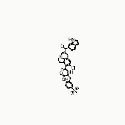 CS(=O)(=O)c1cccc(CC(NC(=O)c2c(Cl)cc3c4c2CCN4CN(C(=O)c2ccc4cc[nH]c4c2)C3)C(=O)O)c1